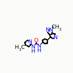 Cc1ccnc(NC(=O)Nc2ccc(-c3cncc4c3cnn4C)cc2)c1